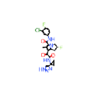 Cc1c(C(=O)C(=O)NC2(c3c[nH]nn3)CC2)c2n(c1C(=O)Nc1ccc(F)c(Cl)c1)C[C@H](F)C2